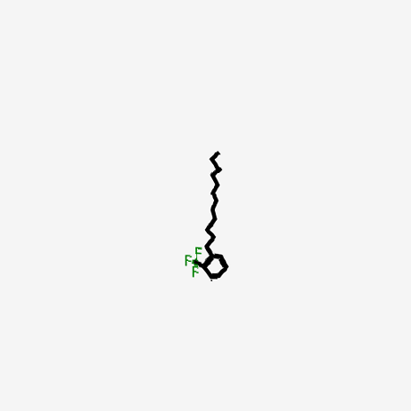 CCCCCCCCCCCCc1ccc[c]c1C(F)(F)F